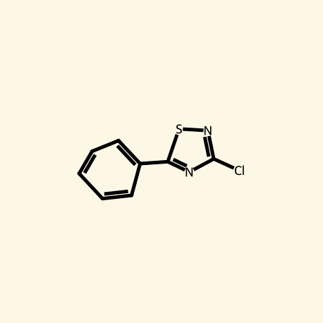 Clc1nsc(-c2ccccc2)n1